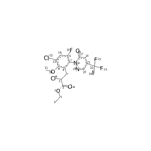 CCOC(=O)C(Cl)Cc1c(OC)c(Cl)cc(F)c1-n1ncc(C(F)(F)F)cc1=O